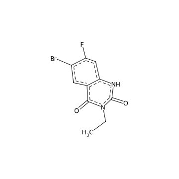 CCn1c(=O)[nH]c2cc(F)c(Br)cc2c1=O